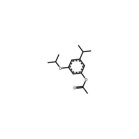 C[C](C)c1cc(OC(C)=O)cc(OC(C)C)c1